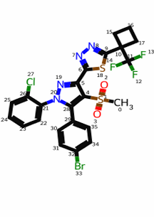 CS(=O)(=O)c1c(-c2nnc(C3(C(F)(F)F)CCC3)s2)nn(-c2ccccc2Cl)c1-c1ccc(Br)cc1